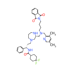 Cc1cnc(CN(CCCCN2C(=O)c3ccccc3C2=O)C[C@H]2CN(CC[C@H](NC(=O)C3CCC(F)(F)CC3)c3ccccc3)CCCN2)c(C)c1